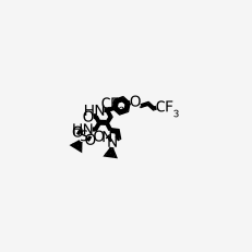 O=C1NC(c2ccc(OCCCC(F)(F)F)cc2)(C(F)(F)F)CC(c2ccn(C3CC3)n2)=C1C(=O)NS(=O)(=O)C1CC1